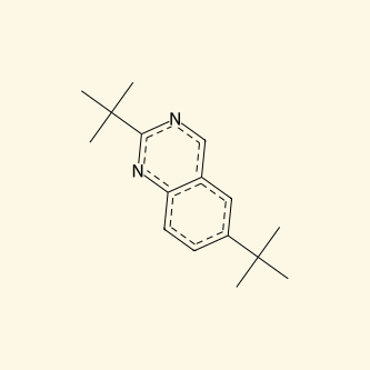 CC(C)(C)c1ccc2nc(C(C)(C)C)ncc2c1